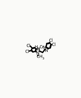 Cn1c(Cc2nc3cc(Cl)c(Cl)cc3n2C)nc2cc(Cl)c(Cl)cc21